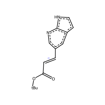 CC(C)(C)OC(=O)/C=C/c1cnc2[nH]ccc2c1